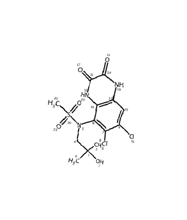 CC(C)(O)CN(c1c(Cl)c(Cl)cc2[nH]c(=O)c(=O)[nH]c12)S(C)(=O)=O